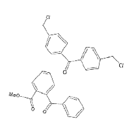 COC(=O)c1ccccc1C(=O)c1ccccc1.O=C(c1ccc(CCl)cc1)c1ccc(CCl)cc1